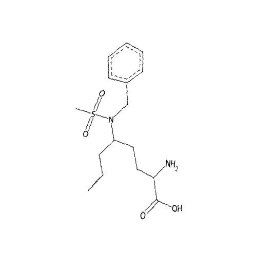 CCCC(CCC(N)C(=O)O)N(Cc1ccccc1)S(C)(=O)=O